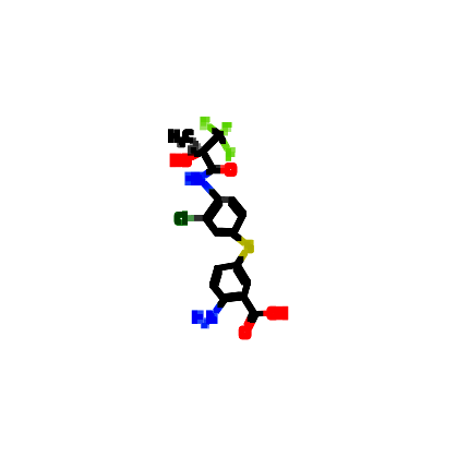 C[C@@](O)(C(=O)Nc1ccc(Sc2ccc(N)c(C(=O)O)c2)cc1Cl)C(F)(F)F